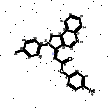 CC(=O)c1ccc(OC(=O)/C=C2\c3cnc4ccccc4c3CN2c2ccc(C)cc2)cc1